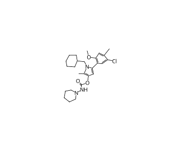 COc1cc(C)c(Cl)cc1-c1cc(OC(=O)NN2CCCCC2)c(C)n1CC1CCCCC1